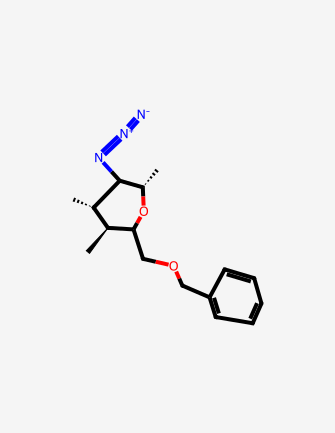 C[C@@H]1OC(COCc2ccccc2)[C@@H](C)[C@H](C)C1N=[N+]=[N-]